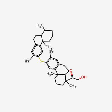 CC(C)c1cc2c(cc1Sc1cc3c(cc1C(C)C)CCC1C(C)(C(=O)CO)CCCC31C)C1(C)CCCC(C)C1CC2